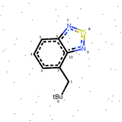 CC(C)(C)Cc1cccc2nsnc12